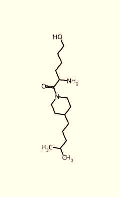 CC(C)CCCC1CCN(C(=O)C(N)CCCCO)CC1